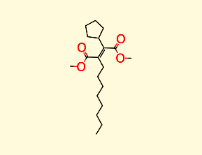 CCCCCCCCC(C(=O)OC)=C(C(=O)OC)C1CCCC1